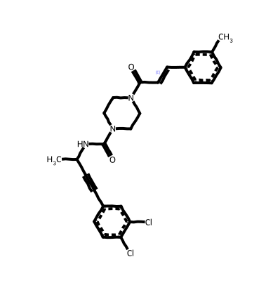 Cc1cccc(/C=C/C(=O)N2CCN(C(=O)NC(C)C#Cc3ccc(Cl)c(Cl)c3)CC2)c1